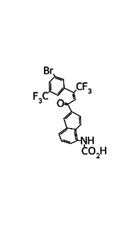 O=C(O)Nc1cccc2cc(C(=O)C=C(c3cc(Br)cc(C(F)(F)F)c3)C(F)(F)F)ccc12